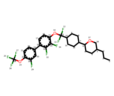 CCCC1CCC(C2CCC(C(F)(F)Oc3ccc(-c4ccc(OC(F)(F)F)c(F)c4)c(F)c3F)CC2)OC1